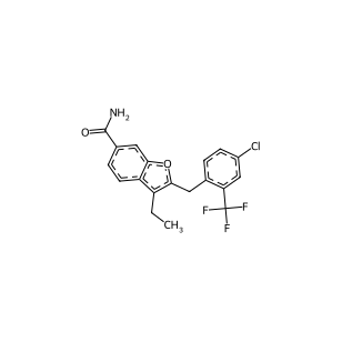 CCc1c(Cc2ccc(Cl)cc2C(F)(F)F)oc2cc(C(N)=O)ccc12